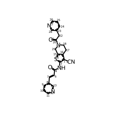 N#Cc1c(NC(=O)C=Cc2cccnc2)sc2c1CCN(C(=O)Cc1cccnc1)C2